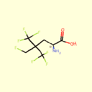 N[C@@H](CC(CF)(C(F)(F)F)C(F)(F)F)C(=O)O